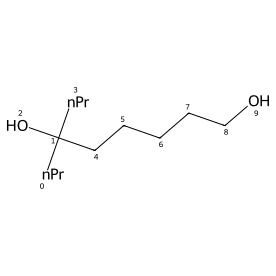 CCCC(O)(CCC)CCCCCO